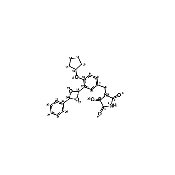 O=C1NC(=O)N(Cc2ccc(OC3CCCC3)c(C3OC(c4ccccc4)O3)c2)C1=O